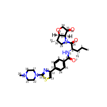 CC[C@H](C)[C@H](NC(=O)c1ccc(-c2csc(N3CCN(C)CC3)n2)cc1)C(=O)N1C[C@H](C)[C@H]2OCC(=O)[C@H]21